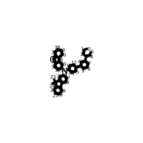 C/C=C\C(=C/C)c1cccc(-c2ccc(N(c3ccc4c(c3)C(C)(C)c3ccccc3-4)c3ccc4oc5ccccc5c4c3)cc2)c1